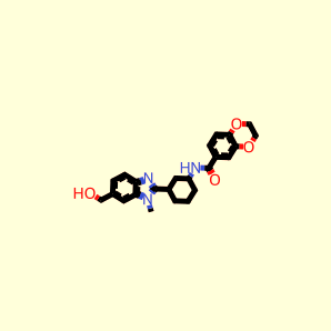 Cn1c(C2CCCC(NC(=O)c3ccc4c(c3)OCCO4)C2)nc2ccc(CO)cc21